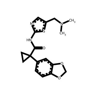 CN(C)Cc1cnc(NC(=O)C2(c3ccc4c(c3)OCO4)CC2)s1